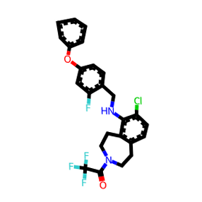 O=C(N1CCc2ccc(Cl)c(NCc3ccc(Oc4ccccc4)cc3F)c2CC1)C(F)(F)F